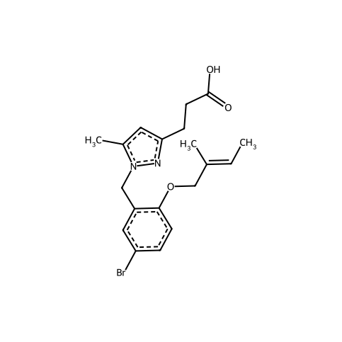 C/C=C(\C)COc1ccc(Br)cc1Cn1nc(CCC(=O)O)cc1C